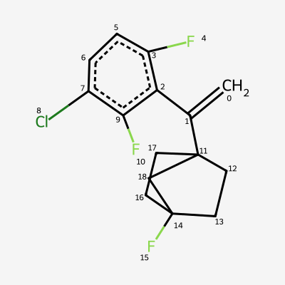 C=C(c1c(F)ccc(Cl)c1F)C12CCC(F)(CC1)C2